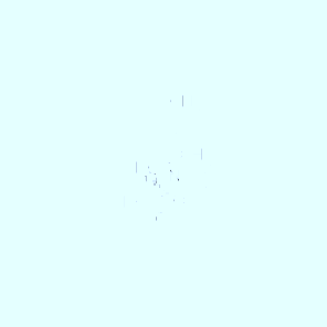 CCCCC(C)(C)N(C1CC1)S(=O)(=O)C(C)C